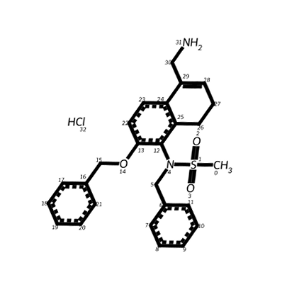 CS(=O)(=O)N(Cc1ccccc1)c1c(OCc2ccccc2)ccc2c1CCC=C2CN.Cl